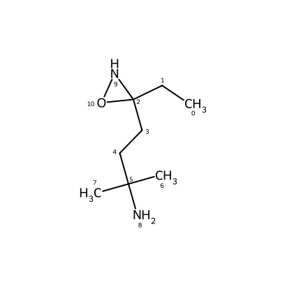 CCC1(CCC(C)(C)N)NO1